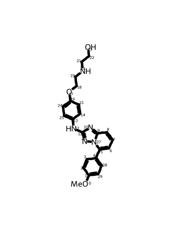 COc1ccc(-c2cccc3nc(Nc4ccc(OCCNCCO)cc4)nn23)cc1